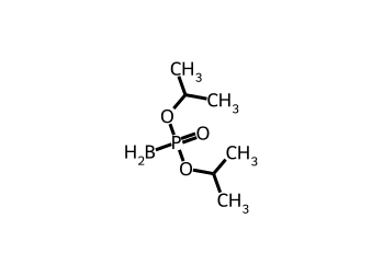 BP(=O)(OC(C)C)OC(C)C